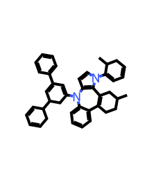 CC1CCC2=C(C1)c1c(ccn1C1=CC=CCC1C)N(C1=CC(c3ccccc3)=CC(C3C=CC=CC3)C1)c1ccccc12